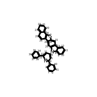 c1ccc(-c2cc(-n3c4ccccc4c4cc5sc6c7ccccc7ccc6c5cc43)cc(-c3ccccc3)n2)cc1